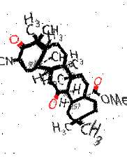 [C-]#[N+]C1=C[C@]2(C)[C@H]3CC(=O)[C@@H]4[C@@H]5CC(C)(C)CC[C@]5(C(=O)OC)CC[C@@]4(C)[C@]3(C)CC[C@H]2C(C)(C)C1=O